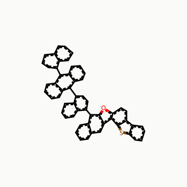 c1ccc2c(-c3c4ccccc4c(-c4ccc(-c5c6ccccc6cc6c5oc5ccc7c8ccccc8sc7c56)c5ccccc45)c4ccccc34)cccc2c1